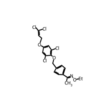 CCON=C(C)c1ccc(COc2c(Cl)cc(OCC=C(Cl)Cl)cc2Cl)cc1